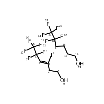 OCC/C(I)=C/C(F)(F)C(F)(F)F.OCCCCC(F)(F)C(F)(F)F